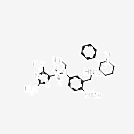 COc1ccc(N(CC(C)C)S(=O)(=O)c2sc(C)nc2C)cc1CN[C@H]1CCCN[C@H]1c1ccccc1